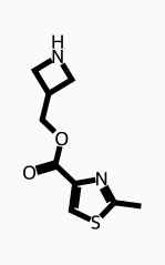 Cc1nc(C(=O)OCC2CNC2)cs1